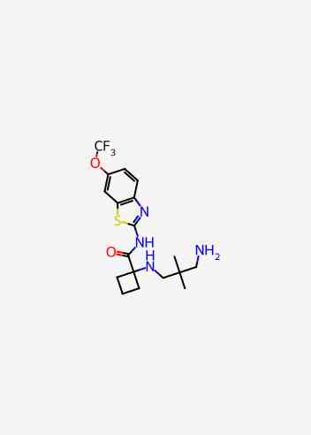 CC(C)(CN)CNC1(C(=O)Nc2nc3ccc(OC(F)(F)F)cc3s2)CCC1